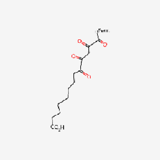 CCCCCC(=O)C(=O)CC(=O)C(=O)CCCCCCCC(=O)O